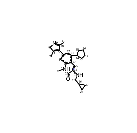 CNc1cc(C2=C(C)CN=C2C)cc(C2CCCC2)c1/C=C(\C=O)NCC1CC1